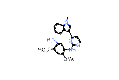 COc1cc(C(=O)O)c(N)cc1Nc1nccc(-c2cn(C)c3ccccc23)n1